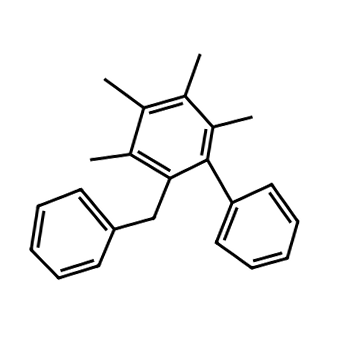 Cc1c(C)c(C)c(-c2ccccc2)c(Cc2ccccc2)c1C